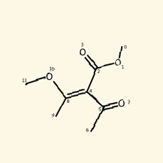 COC(=O)C(C(C)=O)=C(C)OC